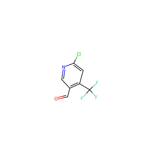 O=Cc1cnc(Cl)cc1C(F)(F)F